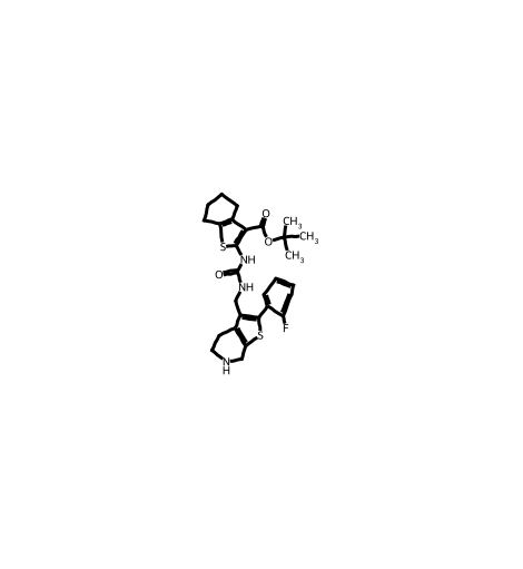 CC(C)(C)OC(=O)c1c(NC(=O)NCc2c(-c3ccccc3F)sc3c2CCNC3)sc2c1CCCC2